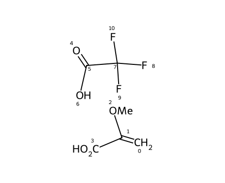 C=C(OC)C(=O)O.O=C(O)C(F)(F)F